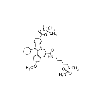 COc1ccc2c(c1)C=C(C(=O)NCCCCCN(C)S(N)(=O)=O)Cn1c-2c(C2CCCCC2)c2ccc(C(=O)OC(C)(C)C)cc21